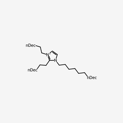 CCCCCCCCCCCCCCCCn1cc[n+](CCCCCCCCCCCC)c1CCCCCCCCCCCC